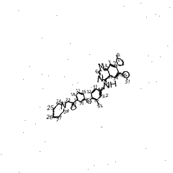 COc1cc2ncnc(Nc3ccc(Oc4cccc(C(=O)CN5CCCCC5)c4)c(C)c3)c2cc1OC